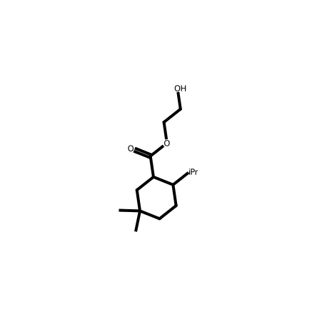 CC(C)C1CCC(C)(C)CC1C(=O)OCCO